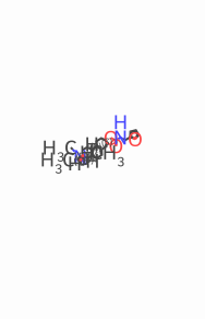 C[C@H]1[C@H]2CC[C@H]3[C@@H]4CC=C5C[C@@H](OC(=O)NCc6ccco6)CC[C@]5(C)[C@H]4CC[C@]23CN1C